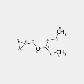 CCCC(CC)OCC1CC1